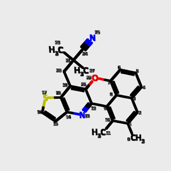 Cc1cc2cccc3c2c(c1C)-c1nc2ccsc2c(CC(C)(C)C#N)c1O3